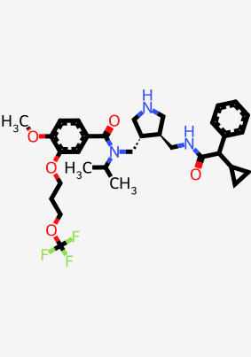 COc1ccc(C(=O)N(C[C@@H]2CNC[C@H]2CNC(=O)C(c2ccccc2)C2CC2)C(C)C)cc1OCCCOC(F)(F)F